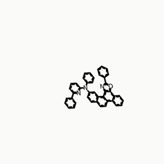 c1ccc(-c2cccc(N(c3ccccc3)c3ccc4ccc5c6ccccc6c6oc(-c7ccccc7)nc6c5c4c3)n2)cc1